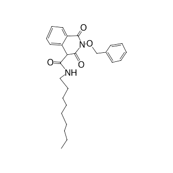 CCCCCCCCCNC(=O)C1C(=O)N(OCc2ccccc2)C(=O)c2ccccc21